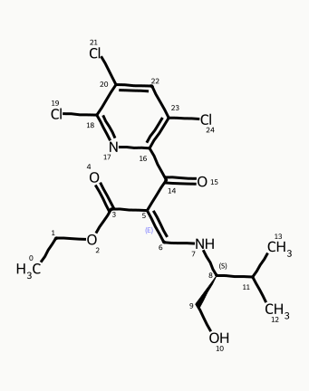 CCOC(=O)/C(=C/N[C@H](CO)C(C)C)C(=O)c1nc(Cl)c(Cl)cc1Cl